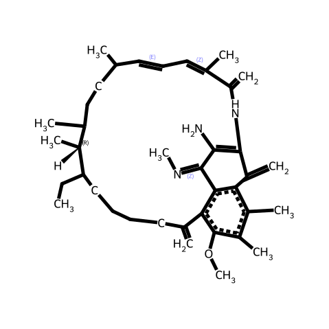 C=C1NC2=C(N)/C(=N\C)c3c(c(C)c(C)c(OC)c3C(=C)CCCCC(CC)[C@H](C)C(C)CCC(C)/C=C/C=C\1C)C2=C